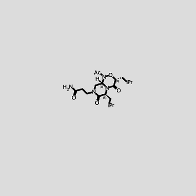 CC(=O)N1O[C@H](CC(C)C)C(=O)N2[C@@H]1CN(CCC(N)=O)C(=O)[C@@H]2CC(C)C